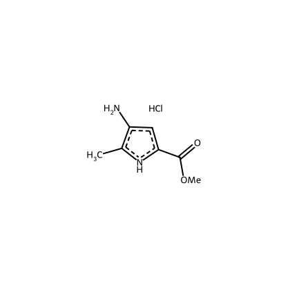 COC(=O)c1cc(N)c(C)[nH]1.Cl